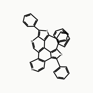 c1ccc(-c2sc(-c3ccccc3)c3c2ncc2c4cnccc4c4c(-c5ccccc5)sc(-c5ccccc5)c4c23)cc1